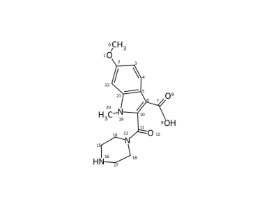 COc1ccc2c(C(=O)O)c(C(=O)N3CCNCC3)n(C)c2c1